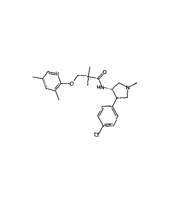 Cc1cnc(OCC(C)(C)C(=O)NC2CN(C)CC2c2ccc(Cl)cc2)c(C)c1